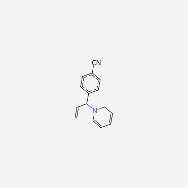 C=CC(c1ccc(C#N)cc1)N1C=CC=CC1